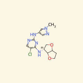 Cn1cc(Nc2ncc(Cl)c(N[C@@H]3COC4CCOC43)n2)cn1